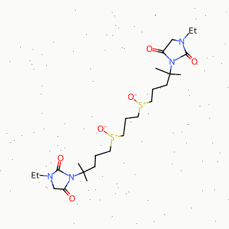 CCN1CC(=O)N(C(C)(C)CCC[S+]([O-])CCC[S+]([O-])CCCC(C)(C)N2C(=O)CN(CC)C2=O)C1=O